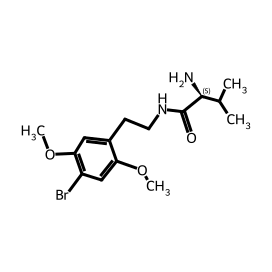 COc1cc(CCNC(=O)[C@@H](N)C(C)C)c(OC)cc1Br